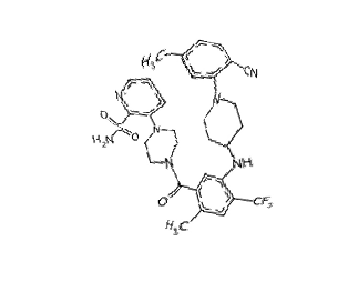 Cc1ccc(C#N)c(N2CCC(Nc3cc(C(=O)N4CCN(c5cccnc5S(N)(=O)=O)CC4)c(C)cc3C(F)(F)F)CC2)c1